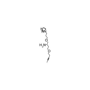 CC#CCCOCCC(N)COCCCn1ccnn1